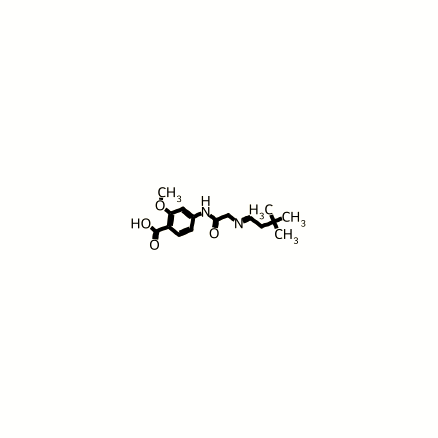 COc1cc(NC(=O)CN=CCC(C)(C)C)ccc1C(=O)O